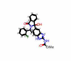 COC(=O)Nc1nc2cc(C3(O)c4ccccc4C(=O)N3C(C)c3ccccc3F)ccc2[nH]1